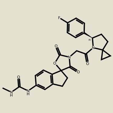 CNC(=O)Nc1ccc2c(c1)CCC21OC(=O)N(CC(=O)N2[C@@H](c3ccc(F)cc3)CCC23CC3)C1=O